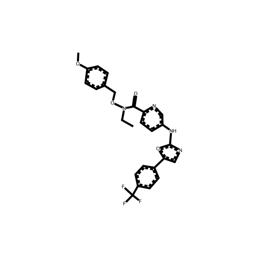 CCN(OCc1ccc(OC)cc1)C(=O)c1ccc(Nc2ncc(-c3ccc(C(F)(F)F)cc3)o2)cn1